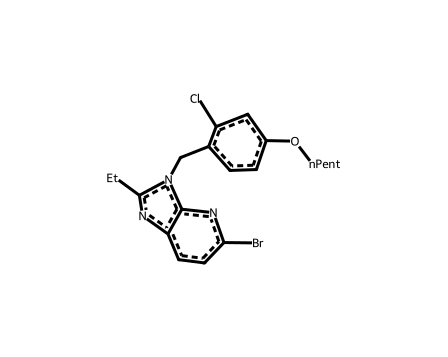 CCCCCOc1ccc(Cn2c(CC)nc3ccc(Br)nc32)c(Cl)c1